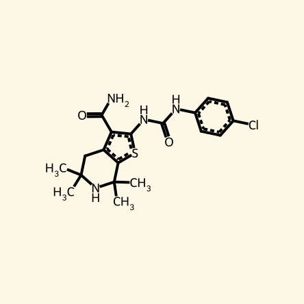 CC1(C)Cc2c(sc(NC(=O)Nc3ccc(Cl)cc3)c2C(N)=O)C(C)(C)N1